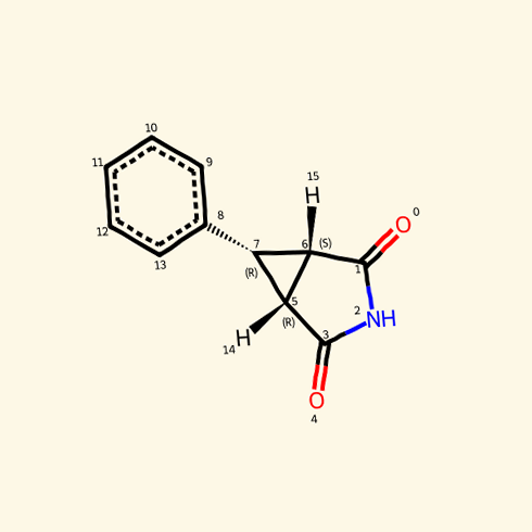 O=C1NC(=O)[C@H]2[C@@H]1[C@H]2c1ccccc1